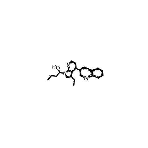 C[CH]CC(O)n1cc(CC)c2c(-c3cnc4ccccc4c3)ccnc21